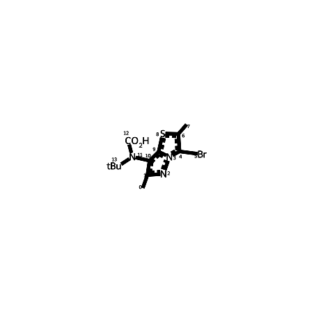 Cc1nn2c(Br)c(C)sc2c1N(C(=O)O)C(C)(C)C